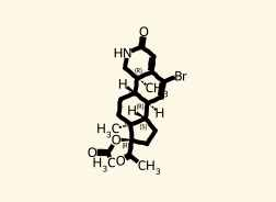 CC(=O)O[C@]1(C(C)=O)CC[C@H]2[C@@H]3C=C(Br)C4=CC(=O)NC[C@]4(C)[C@H]3CC[C@@]21C